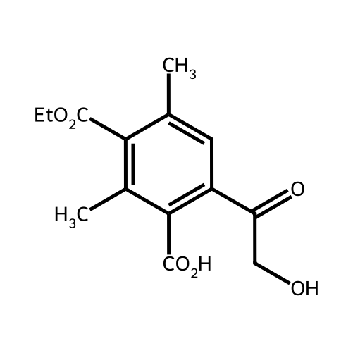 CCOC(=O)c1c(C)cc(C(=O)CO)c(C(=O)O)c1C